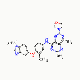 Bc1nc(Nc2ccc(Oc3ccc4c(c3)ncn4C)c(C)c2)c2nc(N3CCOCC3)nc(B)c2n1